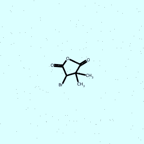 CC1(C)C(=O)OC(=O)C1Br